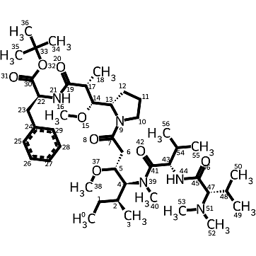 CC[C@H](C)[C@@H]([C@@H](CC(=O)N1CCC[C@H]1[C@H](OC)[C@@H](C)C(=O)N[C@@H](Cc1ccccc1)C(=O)OC(C)(C)C)OC)N(C)C(=O)[C@@H](NC(=O)[C@H](C(C)C)N(C)C)C(C)C